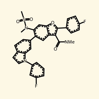 CNC(=O)c1c(-c2ccc(F)cc2)oc2cc(N(C)S(C)(=O)=O)c(-c3ccc4ccn(-c5cccc(F)c5)c4c3)cc12